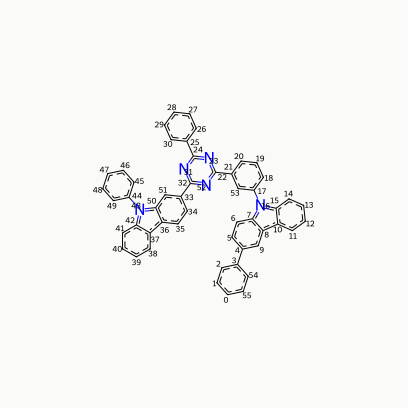 c1ccc(-c2ccc3c(c2)c2ccccc2n3-c2cccc(-c3nc(-c4ccccc4)nc(-c4ccc5c6ccccc6n(-c6ccccc6)c5c4)n3)c2)cc1